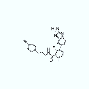 C#Cc1ccc(CCCNC(=O)c2c(C)ccc(-c3ccn4nc(N)nc4c3)c2F)cc1